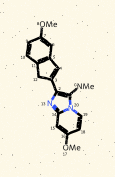 CNc1c(C2=Cc3cc(OC)ccc3C2)nc2cc(OC)ccn12